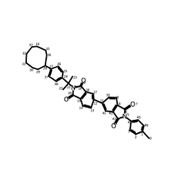 Cc1ccc(N2C(=O)c3ccc(-c4ccc5c(c4)C(=O)N(C(C)(C)c4ccc(C6CCCCCCCC6)cc4)C5=O)cc3C2=O)cc1